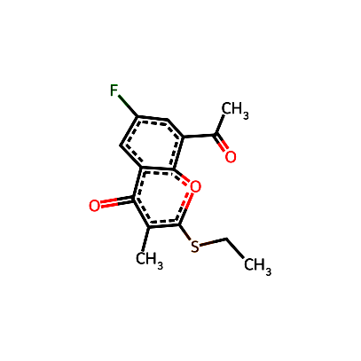 CCSc1oc2c(C(C)=O)cc(F)cc2c(=O)c1C